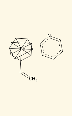 C=C[C]12[CH]3[CH]4[CH]5[CH]1[Fe]45321678[CH]2[CH]1[CH]6[CH]7[CH]28.c1ccncc1